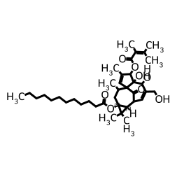 CCCCCCCCCCCC(=O)O[C@@]12CC(C)C34C=C(C)C(OC(=O)C(C)=C(C)C)C3(O)C(O)C(CO)=CC(C4=O)[C@@H]1C2(C)C